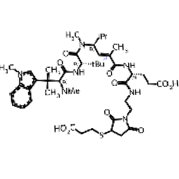 CN[C@H](C(=O)N[C@H](C(=O)N(C)[C@H](/C=C(\C)C(=O)N[C@H](CCC(=O)O)C(=O)NCCN1C(=O)CC(SCCC(=O)O)C1=O)C(C)C)C(C)(C)C)C(C)(C)c1cn(C)c2ccccc12